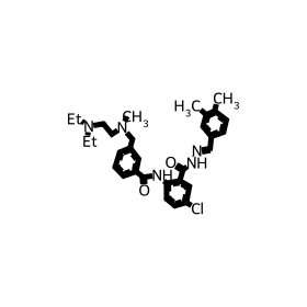 CCN(CC)CCN(C)Cc1cccc(C(=O)Nc2ccc(Cl)cc2C(=O)NN=Cc2ccc(C)c(C)c2)c1